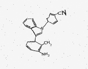 Cc1c(N)cccc1-c1cn(C2C=CC(C#N)=CC2)c2ccccc12